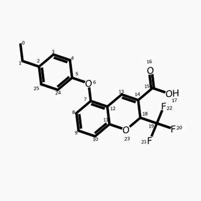 CCc1ccc(Oc2cccc3c2C=C(C(=O)O)C(C(F)(F)F)O3)cc1